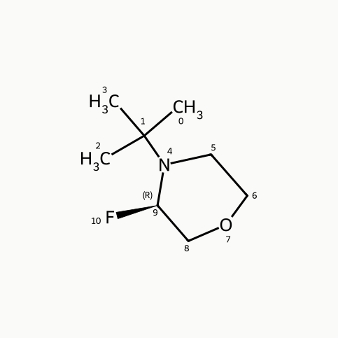 CC(C)(C)N1CCOC[C@H]1F